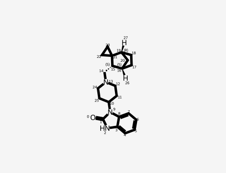 O=c1[nH]c2ccccc2n1C1CCN(C[C@H]2[C@H]3CC[C@H](C3)C23CC3)CC1